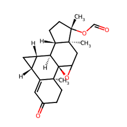 C[C@]12CCC(=O)C=C1[C@@H]1C[C@@H]1[C@H]1[C@@H]3CC[C@](C)(OC=O)[C@@]3(C)CC3O[C@]312